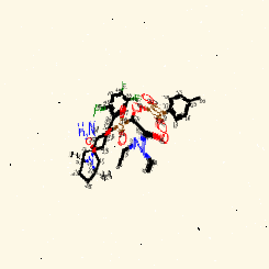 CCN(CC)C(=O)C(OS(=O)(=O)c1ccc(C)cc1)S(=O)(=O)CCC(=O)N1[C@@H]2CC[C@H]1C[C@@H]([C@H](N)Cc1cc(F)c(F)cc1F)C2